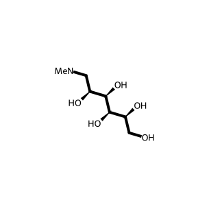 CNC[C@H](O)[C@@H](O)[C@H](O)[C@@H](O)CO